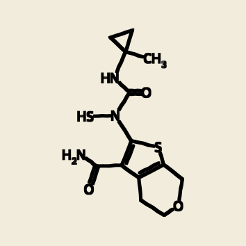 CC1(NC(=O)N(S)c2sc3c(c2C(N)=O)CCOC3)CC1